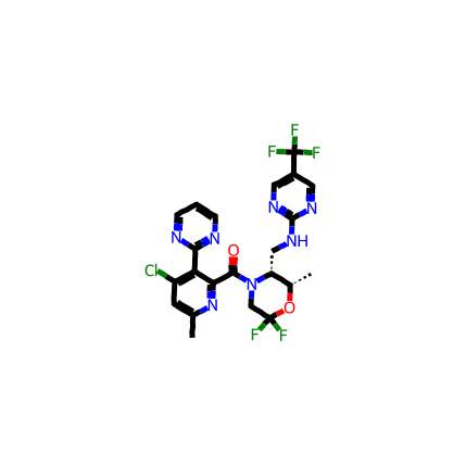 Cc1cc(Cl)c(-c2ncccn2)c(C(=O)N2CC(F)(F)O[C@@H](C)[C@H]2CNc2ncc(C(F)(F)F)cn2)n1